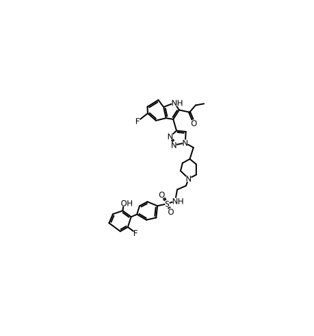 CCC(=O)c1[nH]c2ccc(F)cc2c1-c1cn(CC2CCN(CCNS(=O)(=O)c3ccc(-c4c(O)cccc4F)cc3)CC2)nn1